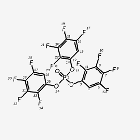 O=P(Oc1cc(F)c(F)c(F)c1F)(Oc1cc(F)c(F)c(F)c1F)Oc1cc(F)c(F)c(F)c1F